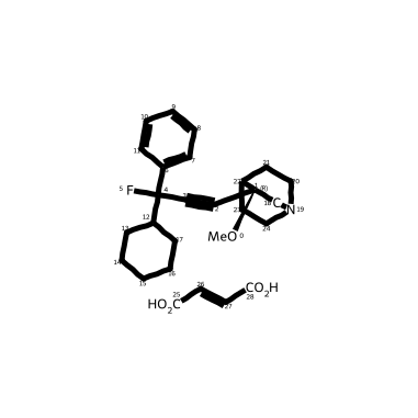 CO[C@]1(C#CC(F)(c2ccccc2)C2CCCCC2)CN2CCC1CC2.O=C(O)C=CC(=O)O